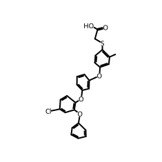 Cc1cc(Oc2cccc(Oc3ccc(Cl)cc3Oc3ccccc3)c2)ccc1SCC(=O)O